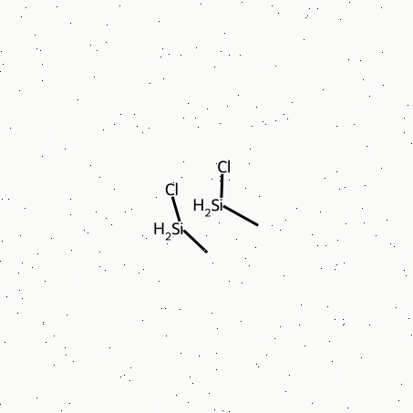 C[SiH2]Cl.C[SiH2]Cl